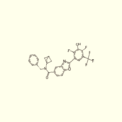 O=C(c1ccc2oc(-c3cc(C(F)(F)F)c(F)c(O)c3F)nc2c1)N(Cc1ccccc1)C12CC(C1)C2